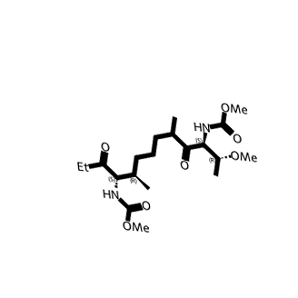 CCC(=O)[C@@H](NC(=O)OC)[C@H](C)CCCC(C)C(=O)[C@@H](NC(=O)OC)[C@@H](C)OC